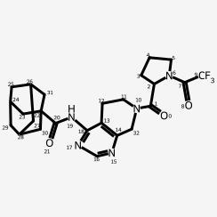 O=C(C1CCCN1C(=O)C(F)(F)F)N1CCc2c(ncnc2NC(=O)C23CC4CC(CC(C4)C2)C3)C1